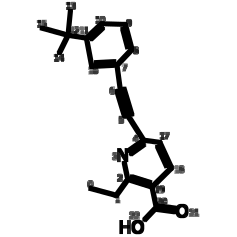 CCc1nc(C#Cc2cccc(C(C)(C)C)c2)ccc1C(=O)O